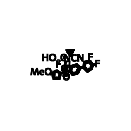 CO[C@H]1CC[C@H](S(=O)(=O)c2ccc(-c3ccc(F)c(F)c3)cc2C(F)(F)F)C1.N#CC1(NC(=O)O)CC1